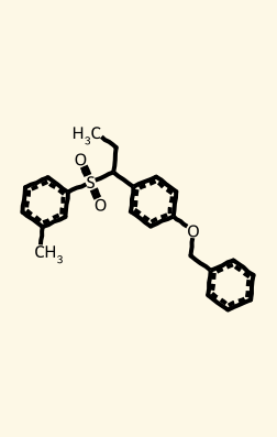 CCC(c1ccc(OCc2ccccc2)cc1)S(=O)(=O)c1cccc(C)c1